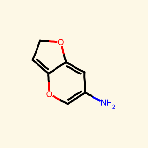 NC1=COC2=CCOC2=C1